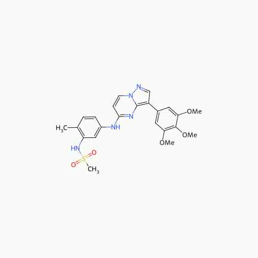 COc1cc(-c2cnn3ccc(Nc4ccc(C)c(NS(C)(=O)=O)c4)nc23)cc(OC)c1OC